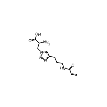 C=CC(=O)NCCCc1cn(CC(N)C(=O)O)nn1